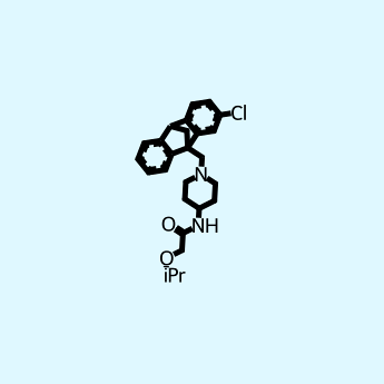 CC(C)OCC(=O)NC1CCN(CC23CC(c4ccccc42)c2ccc(Cl)cc23)CC1